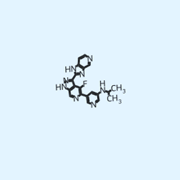 CC(C)Nc1cncc(-c2ncc3[nH]nc(-c4nc5cnccc5[nH]4)c3c2F)c1